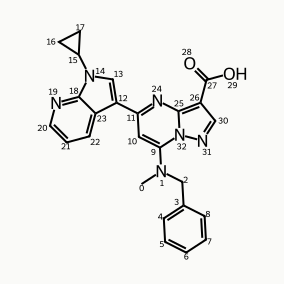 CN(Cc1ccccc1)c1cc(-c2cn(C3CC3)c3ncccc23)nc2c(C(=O)O)cnn12